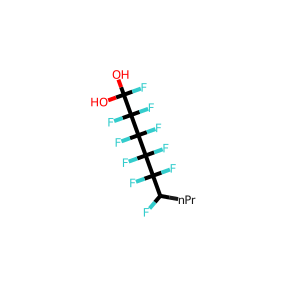 CCCC(F)C(F)(F)C(F)(F)C(F)(F)C(F)(F)C(O)(O)F